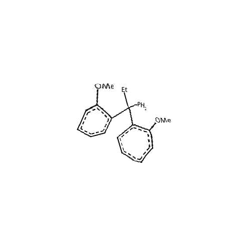 CCC(P)(c1ccccc1OC)c1ccccc1OC